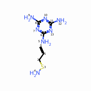 C=CCSN.Nc1nc(N)nc(N)n1